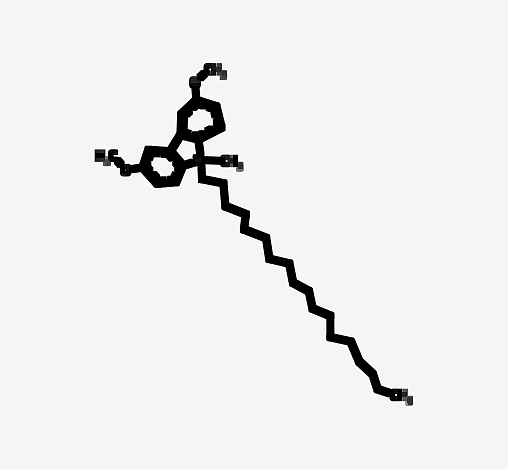 CCCCCCCCCCCCCCCCCC[Si]1(C)c2ccc(OC)cc2-c2cc(OC)ccc21